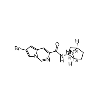 O=C(N[C@@H]1C[C@H]2CC[C@@H]1N2)c1cc2cc(Br)cn2cn1